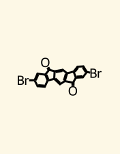 O=c1c2cc(Br)ccc2c2cc3c(=O)c4cc(Br)ccc4c3cc12